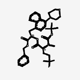 CN(C(=O)OC(C)(C)C)[C@@H](CCC(C)(C)F)C(=O)O[C@H](Cc1ccc(N2CCOCC2)c2ccccc12)C(=O)OCc1ccccc1